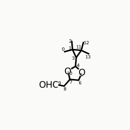 CC1(C)C(C2OCC(CC=O)O2)C1(C)C